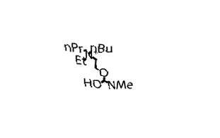 CCCC[N+](CC)(CCC)CCOC(O)NC